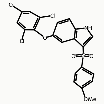 COc1ccc(S(=O)(=O)c2c[nH]c3ccc(Oc4c(Cl)cc([O])cc4Cl)cc23)cc1